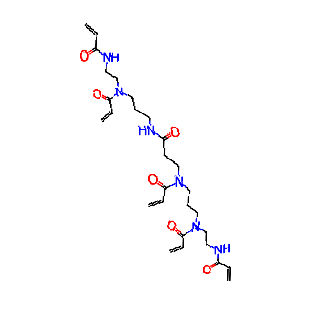 C=CC(=O)NCCN(CCCNC(=O)CCN(CCCN(CCNC(=O)C=C)C(=O)C=C)C(=O)C=C)C(=O)C=C